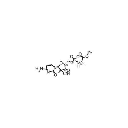 CC(C)OC(=O)[C@H](C)NP(=O)(O)OC[C@H]1O[C@@H](n2ccc(N)nc2=O)[C@](C)(C#N)[C@@H]1O